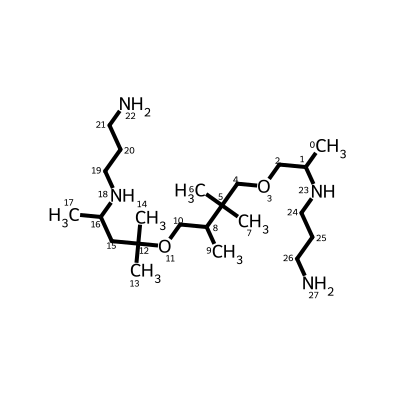 CC(COCC(C)(C)C(C)COC(C)(C)CC(C)NCCCN)NCCCN